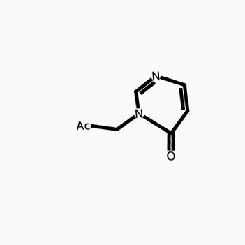 CC(=O)Cn1cnccc1=O